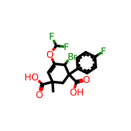 CC1(C(=O)O)C=C(OC(F)F)C(Br)C(C(=O)O)(c2ccc(F)cc2)C1